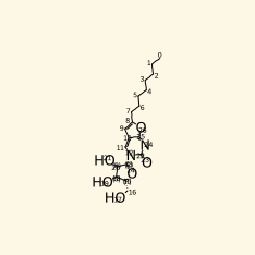 CCCCCCCCc1cc2cn([C@@H]3O[C@H](CO)[C@@H](O)[C@H]3O)c(=O)nc2o1